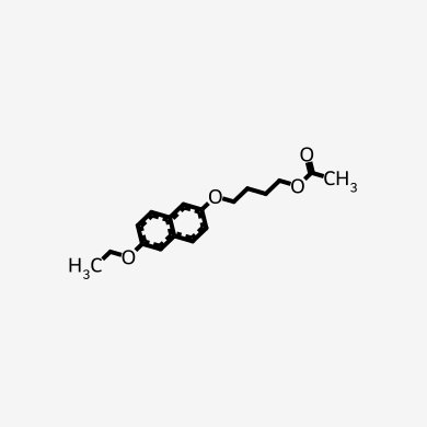 CCOc1ccc2cc(OCCCCOC(C)=O)ccc2c1